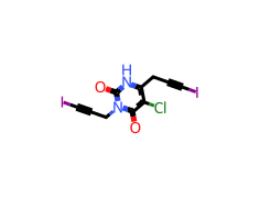 O=c1[nH]c(CC#CI)c(Cl)c(=O)n1CC#CI